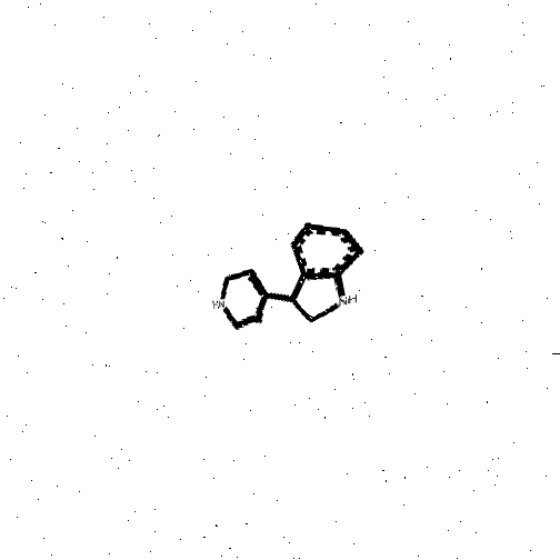 C1=C(C2CNc3ccccc32)CCNC1